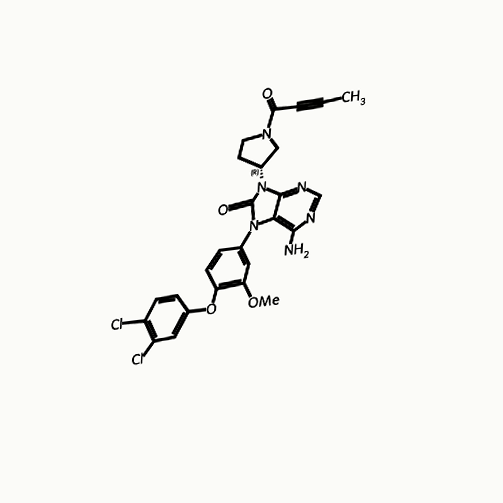 CC#CC(=O)N1CC[C@@H](n2c(=O)n(-c3ccc(Oc4ccc(Cl)c(Cl)c4)c(OC)c3)c3c(N)ncnc32)C1